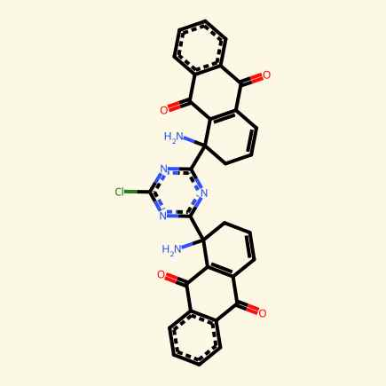 NC1(c2nc(Cl)nc(C3(N)CC=CC4=C3C(=O)c3ccccc3C4=O)n2)CC=CC2=C1C(=O)c1ccccc1C2=O